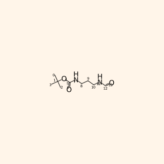 CC(C)(C)OC(=O)NCCCNC=O